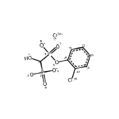 O=P([O-])([O-])C(O)P(=O)([O-])Oc1ccccc1Cl.[Cr+3]